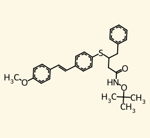 COc1ccc(C=Cc2ccc(SC(CC(=O)NOC(C)(C)C)Cc3ccccc3)cc2)cc1